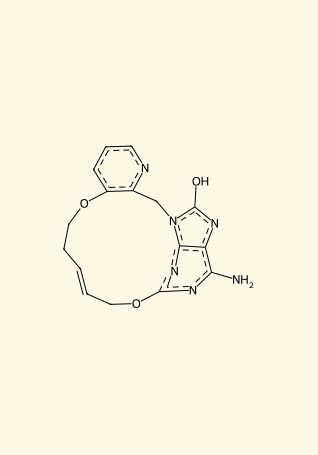 Nc1nc2nc3c1nc(O)n3Cc1ncccc1OCC/C=C/CO2